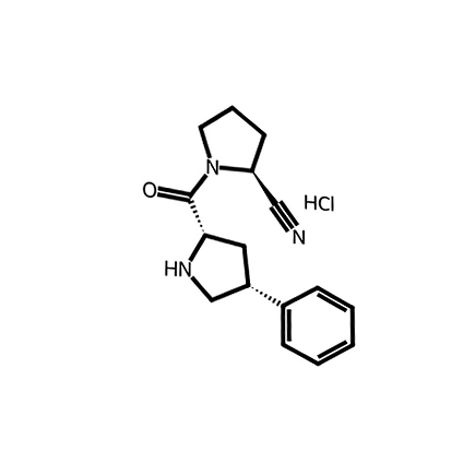 Cl.N#C[C@@H]1CCCN1C(=O)[C@@H]1C[C@H](c2ccccc2)CN1